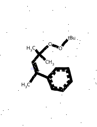 C/C(=C/C(C)(C)OOC(C)(C)C)c1ccccc1